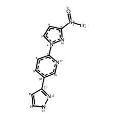 O=[N+]([O-])c1ccn(-c2ccc(C3=N[N]C=C3)cn2)n1